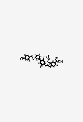 COCCn1c(Cc2cc(F)c(-c3cccc(OCc4ccc(Cl)nc4F)n3)cc2F)nc2ccc(C(=O)O)cc21